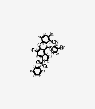 N#Cc1cc(Oc2c(F)cc3c(ccn3S(=O)(=O)c3ccccc3)c2Cn2cc(Br)cn2)ccc1F